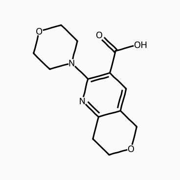 O=C(O)c1cc2c(nc1N1CCOCC1)CCOC2